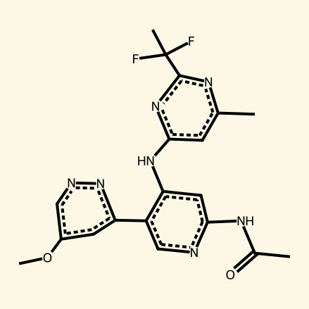 COc1cnnc(-c2cnc(NC(C)=O)cc2Nc2cc(C)nc(C(C)(F)F)n2)c1